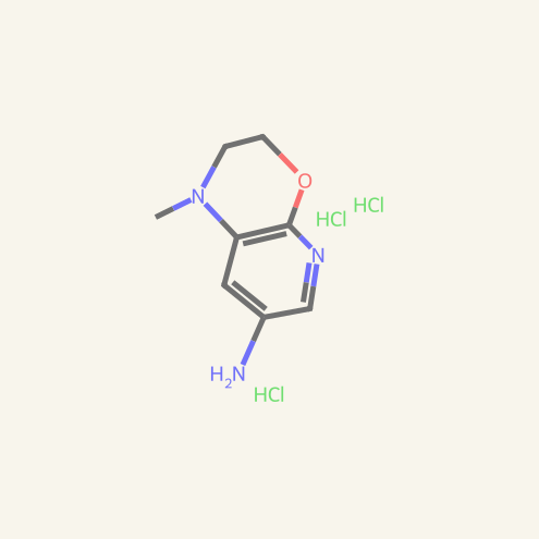 CN1CCOc2ncc(N)cc21.Cl.Cl.Cl